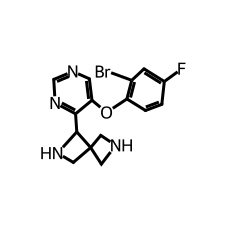 Fc1ccc(Oc2cncnc2C2NCC23CNC3)c(Br)c1